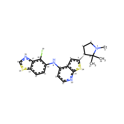 CCN1CC[C@@H](c2cc3c(Nc4ccc5scnc5c4F)ccnc3s2)C1(C)C